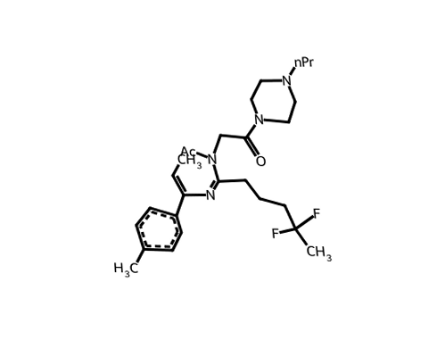 C/C=C(\N=C(\CCCC(C)(F)F)N(CC(=O)N1CCN(CCC)CC1)C(C)=O)c1ccc(C)cc1